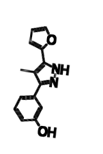 Cc1c(-c2cccc(O)c2)n[nH]c1-c1ccco1